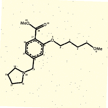 COCCCCOc1cc(CN2CCCC2)ccc1C(=O)OC